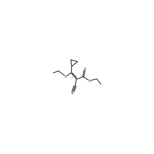 CCOC(=O)/C(C#N)=C(/OCC)C1CC1